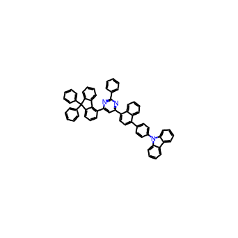 c1ccc(-c2nc(-c3cccc4c3-c3ccccc3C4(c3ccccc3)c3ccccc3)cc(-c3ccc(-c4ccc(-n5c6ccccc6c6ccccc65)cc4)c4ccccc34)n2)cc1